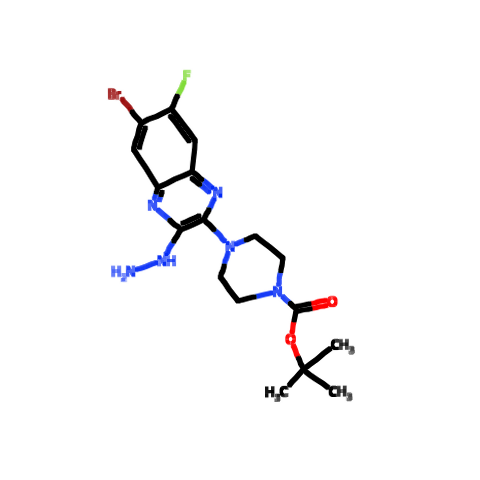 CC(C)(C)OC(=O)N1CCN(c2nc3cc(F)c(Br)cc3nc2NN)CC1